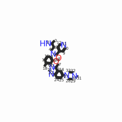 CC(=N)CCN(C(=O)c1ccncc1)c1ccc(C)c(N2C=Nc3ccc(N4CCN(C)CC4)cc3C2C=O)c1